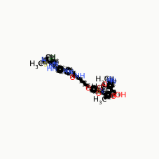 COc1cc(C(CC(=O)O)c2ccc(C)c(CN(C)S(=O)(=O)c3ccc(OCCCCCCNC(=O)CN4CCN(c5ccc(Nc6ncc(Cl)c(-c7sc(C)nc7C)n6)cc5)CC4)cc3)c2)cc2nnn(C)c12